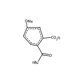 CCCCC(=O)c1ccc(OC)cc1C(=O)O